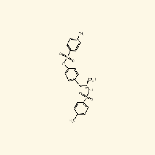 Cc1ccc(S(=O)(=O)N[C@@H](Cc2ccc(OS(=O)(=O)c3ccc(C)cc3)cc2)C(=O)O)cc1